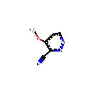 COc1ccnnc1C#N